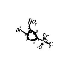 CCS(=O)(=O)c1ccc(Br)c([N+](=O)[O-])c1